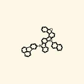 c1ccc2cc(-n3c4ccc5oc6ccccc6c5c4c4ccc5c(c6ccccc6n5-c5ccc6c(c5)-c5cccc7cccc-6c57)c43)ccc2c1